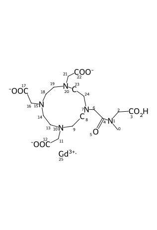 CN(CC(=O)O)C(=O)CN1CCN(CC(=O)[O-])CCN(CC(=O)[O-])CCN(CC(=O)[O-])CC1.[Gd+3]